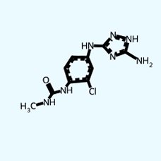 CNC(=O)Nc1ccc(Nc2n[nH]c(N)n2)cc1Cl